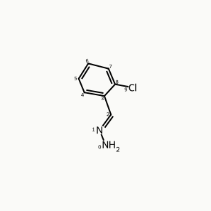 NN=Cc1ccccc1Cl